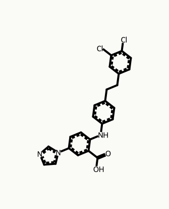 O=C(O)c1cc(-n2ccnc2)ccc1Nc1ccc(CCc2ccc(Cl)c(Cl)c2)cc1